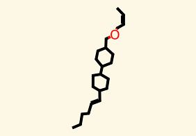 C/C=C\COCC1CCC(C2CCC(/C=C/CCCC)CC2)CC1